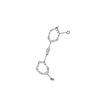 Clc1cc(C#Cc2cccc(Br)c2)ccn1